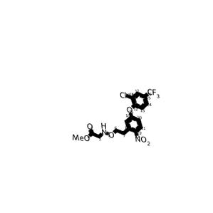 COC(=O)CNOCCc1cc(Oc2ccc(C(F)(F)F)cc2Cl)ccc1[N+](=O)[O-]